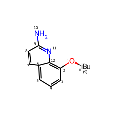 CC[C@H](C)Oc1cccc2ccc(N)nc12